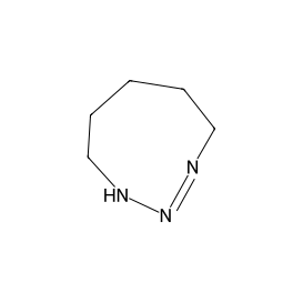 C1CC/N=N\NCC1